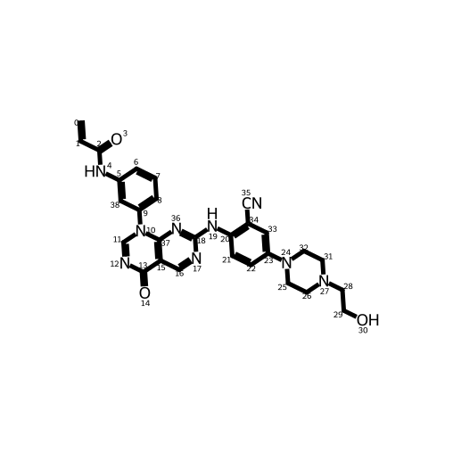 C=CC(=O)Nc1cccc(-n2cnc(=O)c3cnc(Nc4ccc(N5CCN(CCO)CC5)cc4C#N)nc32)c1